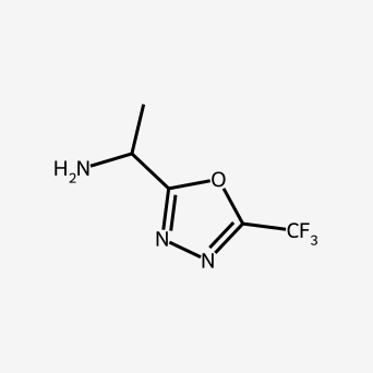 CC(N)c1nnc(C(F)(F)F)o1